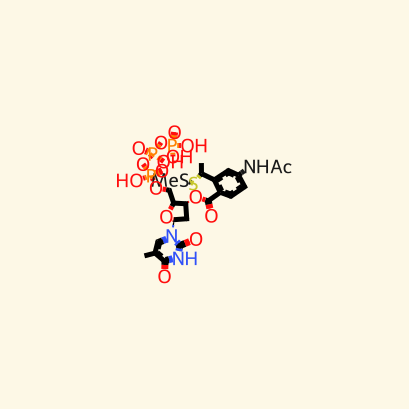 CSSC(C)c1cc(NC(C)=O)ccc1C(=O)O[C@@H]1C[C@H](n2cc(C)c(=O)[nH]c2=O)OC1COP(=O)(O)OP(=O)(O)OP(=O)(O)O